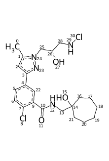 Cc1cc(-c2ccc(Cl)c(C(=O)NCC3(O)CCCCCC3)c2)nn1C[C@@H](O)CNCl